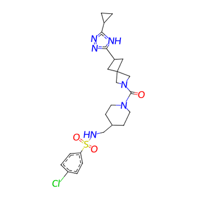 O=C(N1CCC(CNS(=O)(=O)c2ccc(Cl)cc2)CC1)N1CC2(CC(c3nnc(C4CC4)[nH]3)C2)C1